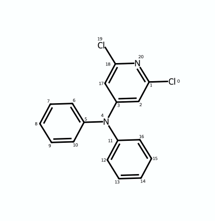 Clc1cc(N(c2ccccc2)c2ccccc2)cc(Cl)n1